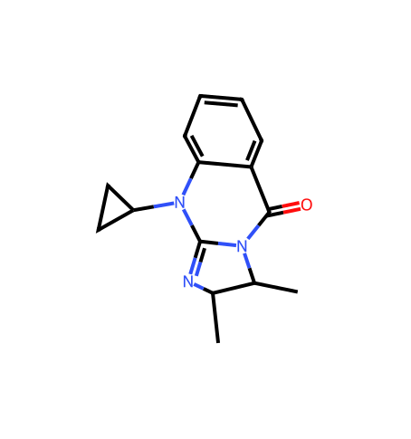 CC1N=C2N(C(=O)c3ccccc3N2C2CC2)C1C